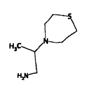 CC(CN)N1CCSCC1